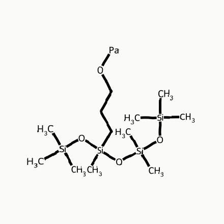 C[Si](C)(C)O[Si](C)(C)O[Si](C)(CCC[O][Pa])O[Si](C)(C)C